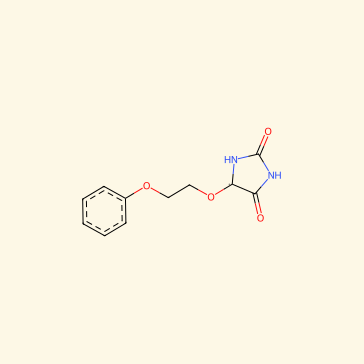 O=C1N[C](OCCOc2ccccc2)C(=O)N1